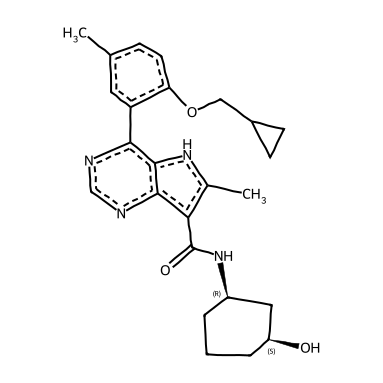 Cc1ccc(OCC2CC2)c(-c2ncnc3c(C(=O)N[C@@H]4CCC[C@H](O)C4)c(C)[nH]c23)c1